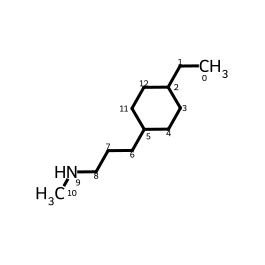 CCC1CCC(CCCNC)CC1